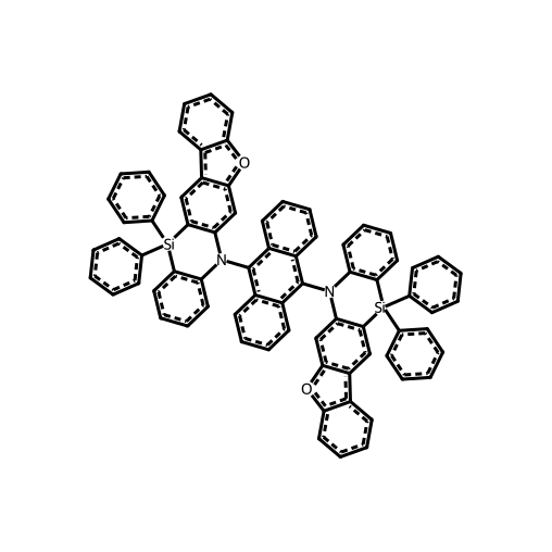 c1ccc([Si]2(c3ccccc3)c3ccccc3N(c3c4ccccc4c(N4c5ccccc5[Si](c5ccccc5)(c5ccccc5)c5cc6c(cc54)oc4ccccc46)c4ccccc34)c3cc4oc5ccccc5c4cc32)cc1